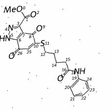 COC(=O)c1n[nH]c2c1C(=O)C(SCCCCC(=O)Nc1ccccc1)=CC2=O